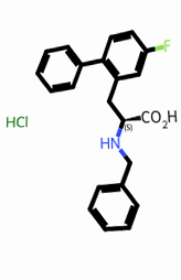 Cl.O=C(O)[C@H](Cc1cc(F)ccc1-c1ccccc1)NCc1ccccc1